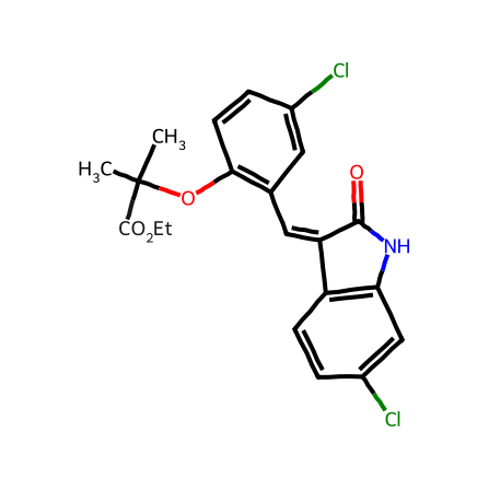 CCOC(=O)C(C)(C)Oc1ccc(Cl)cc1C=C1C(=O)Nc2cc(Cl)ccc21